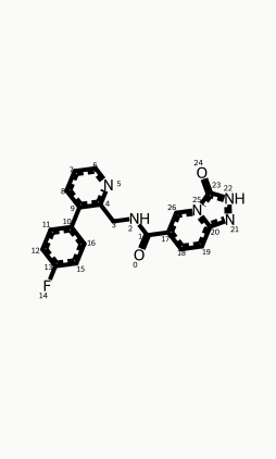 O=C(NCc1ncccc1-c1ccc(F)cc1)c1ccc2n[nH]c(=O)n2c1